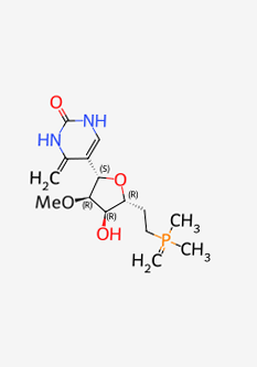 C=C1NC(=O)NC=C1[C@@H]1O[C@H](CCP(=C)(C)C)[C@@H](O)[C@H]1OC